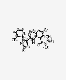 CCN(C)N(CC)C(=O)c1cc(Br)cc(Br)c1NC(=O)c1cc(Br)nn1-c1ncccc1Cl